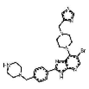 Brc1cnc2[nH]c(-c3ccc(CN4CCNCC4)cc3)nc2c1N1CCN(Cc2cscn2)CC1